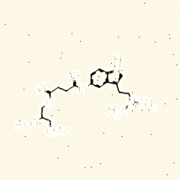 CC(=O)OCC(COC(=O)CCC(=O)Oc1ccc2[nH]cc(CCN(C)C)c2c1)OC(C)=O